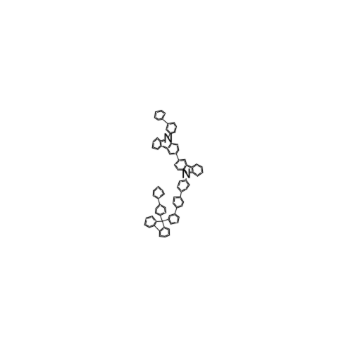 c1ccc(-c2ccc(C3(c4cccc(-c5ccc(-c6ccc(-n7c8ccccc8c8cc(-c9ccc%10c(c9)c9ccccc9n%10-c9cccc(-c%10ccccc%10)c9)ccc87)cc6)cc5)c4)c4ccccc4-c4ccccc43)cc2)cc1